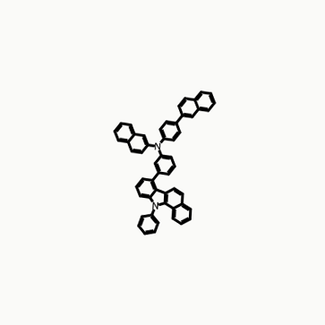 c1ccc(-n2c3cccc(-c4cccc(N(c5ccc(-c6ccc7ccccc7c6)cc5)c5ccc6ccccc6c5)c4)c3c3ccc4ccccc4c32)cc1